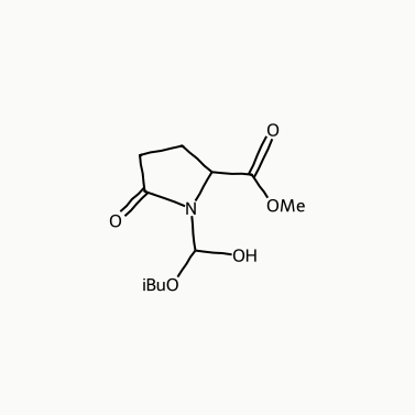 COC(=O)C1CCC(=O)N1C(O)OCC(C)C